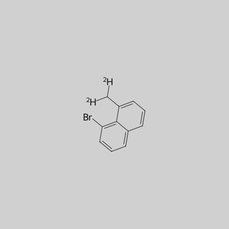 [2H]C([2H])c1cccc2cccc(Br)c12